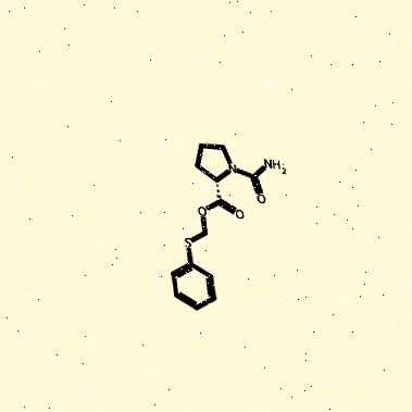 NC(=O)N1CCC[C@H]1C(=O)OCSc1ccccc1